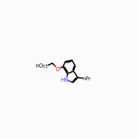 CCCCCCCCCOc1cccc2c(CCC)c[nH]c12